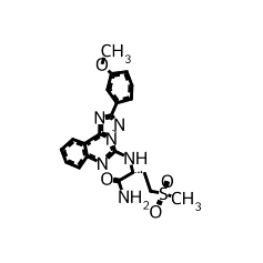 COc1cccc(-c2nc3c4ccccc4nc(N[C@H](CCS(C)(=O)=O)C(N)=O)n3n2)c1